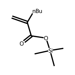 C=C(CCCC)C(=O)O[Si](C)(C)C